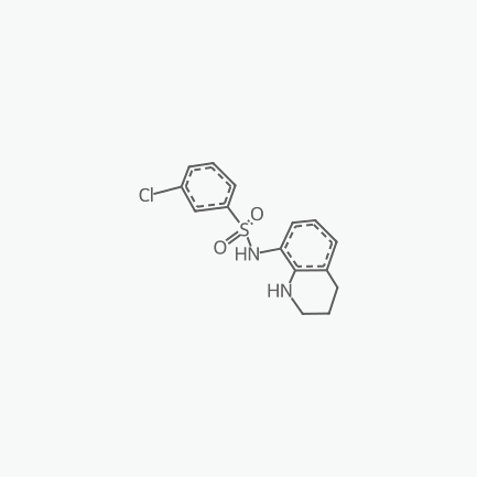 O=S(=O)(Nc1cccc2c1NCCC2)c1cccc(Cl)c1